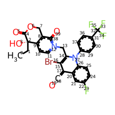 CC[C@@]1(O)C(=O)OCc2c1ccn(CC1=C(Br)C(=C=O)c3cc(F)ccc3N1c1ccc(C(F)(F)F)cc1)c2=O